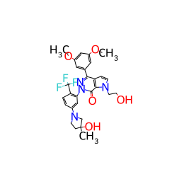 COc1cc(OC)cc(-c2nn(-c3cc(N4CCC(C)(O)C4)ccc3C(F)(F)F)c(=O)c3c2ccn3CCO)c1